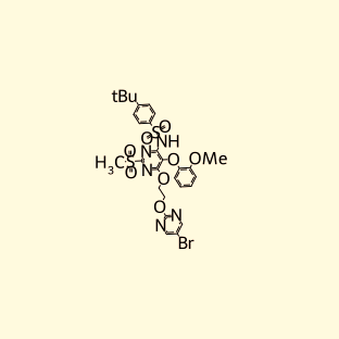 COc1ccccc1Oc1c(NS(=O)(=O)c2ccc(C(C)(C)C)cc2)nc(S(C)(=O)=O)nc1OCCOc1ncc(Br)cn1